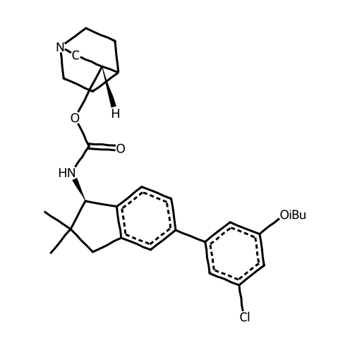 CC(C)COc1cc(Cl)cc(-c2ccc3c(c2)CC(C)(C)[C@H]3NC(=O)O[C@@H]2CN3CCC2CC3)c1